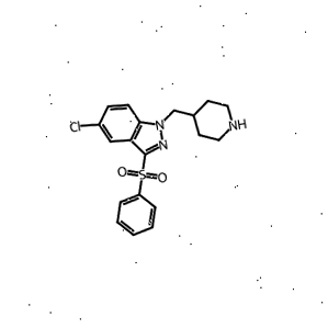 O=S(=O)(c1ccccc1)c1nn(CC2CCNCC2)c2ccc(Cl)cc12